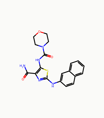 NC(=O)c1nc(Nc2ccc3ccccc3c2)sc1NC(=O)N1CCOCC1